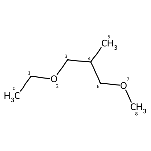 CCOCC(C)COC